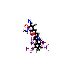 CCN1C(=O)C(C#N)=C(C)/C(=C/c2cc3c(cc(-c4c(P)c(P)c(F)c(P)c4P)n3C)o2)C1=O